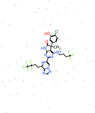 C[C@]1(c2ccc(Cl)c(O)c2)C(=O)Nc2nc(-c3cn4ncnc4c(CCC(F)(F)C(F)(F)F)n3)nc(NCCCC(F)(F)F)c21